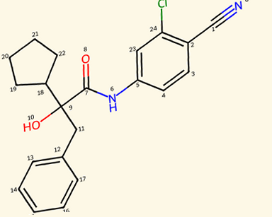 N#Cc1ccc(NC(=O)C(O)(Cc2ccccc2)C2CCCC2)cc1Cl